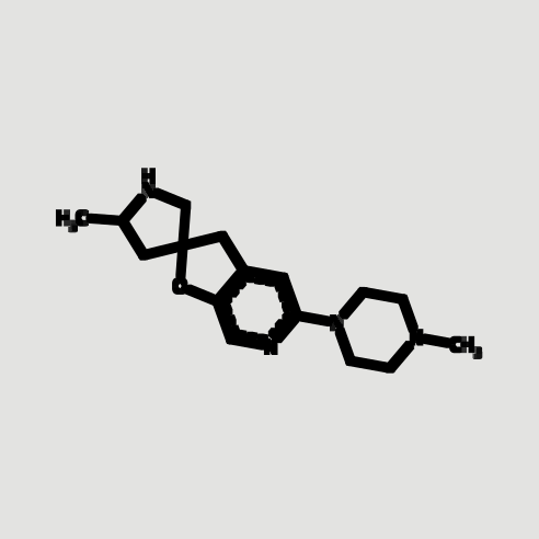 CC1CC2(CN1)Cc1cc(N3CCN(C)CC3)ncc1O2